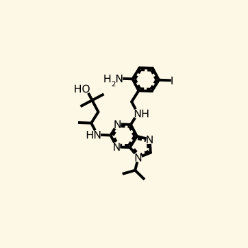 CC(CC(C)(C)O)Nc1nc(NCc2cc(I)ccc2N)c2ncn(C(C)C)c2n1